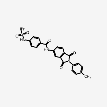 Cc1ccc(N2C(=O)c3ccc(NC(=O)c4ccc(NS(=O)(=O)C(C)C)cc4)cc3C2=O)cc1